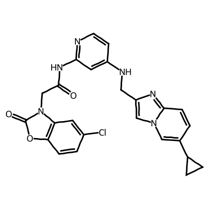 O=C(Cn1c(=O)oc2ccc(Cl)cc21)Nc1cc(NCc2cn3cc(C4CC4)ccc3n2)ccn1